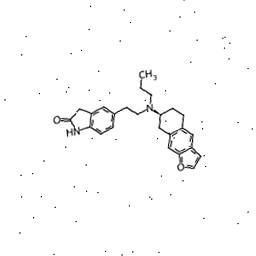 CCCN(CCc1ccc2c(c1)CC(=O)N2)[C@H]1CCc2cc3ccoc3cc2C1